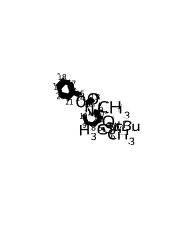 C[C@H]1C(O[Si](C)(C)C(C)(C)C)CCCN1C(=O)OCc1ccccc1